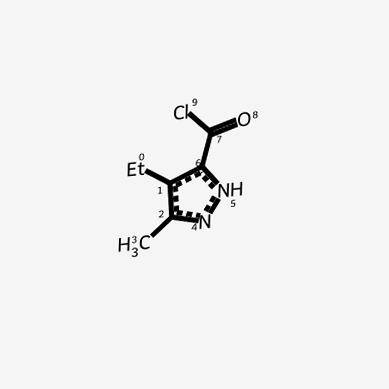 CCc1c(C)n[nH]c1C(=O)Cl